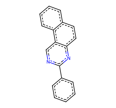 c1ccc(-c2ncc3c(ccc4ccccc43)n2)cc1